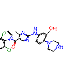 C=CN(C(=O)c1cnc(Nc2ccc(N3CCNCC3)c(CO)c2)nc1C)c1c(Cl)cccc1Cl